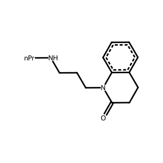 CCCNCCCN1C(=O)CCc2ccccc21